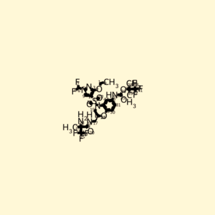 CCOc1nn(C(F)F)cc1S(=O)(=O)N1C[C@H](CNC(=O)C(C)(N)C(F)(F)F)Oc2ccc(NC(=O)OC(C)(C)C(F)(F)F)cc21